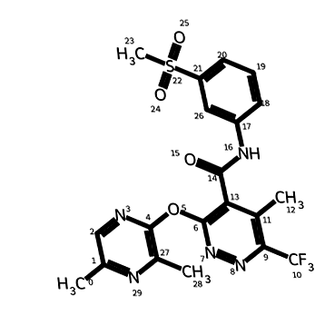 Cc1cnc(Oc2nnc(C(F)(F)F)c(C)c2C(=O)Nc2cccc(S(C)(=O)=O)c2)c(C)n1